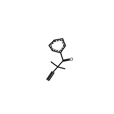 C#CC(C)(C)C(=O)c1ccccc1